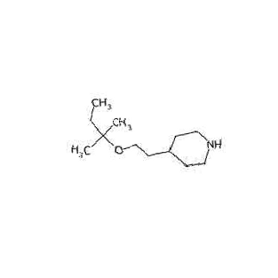 CCC(C)(C)OCCC1CCNCC1